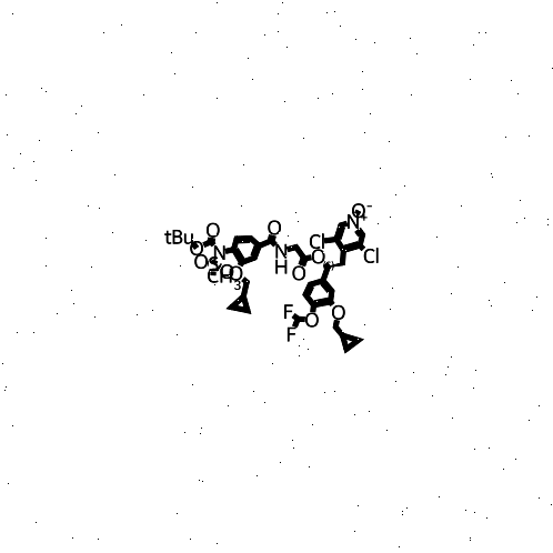 CC(C)(C)OC(=O)N(c1ccc(C(=O)NCC(=O)O[C@@H](Cc2c(Cl)c[n+]([O-])cc2Cl)c2ccc(OC(F)F)c(OCC3CC3)c2)cc1OCC1CC1)S(C)(=O)=O